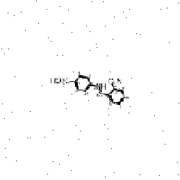 O=C(O)c1ccc(NSc2ccccc2[N+](=O)[O-])cc1